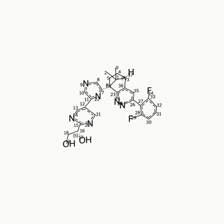 CC1(C)[C@H]2CC[C@]1(c1cncc(-c3cnc([C@H](O)CO)nc3)n1)c1nnc(-c3c(F)cccc3F)cc12